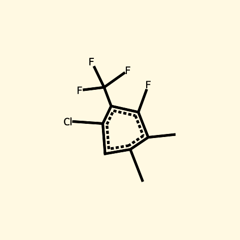 Cc1cc(Cl)c(C(F)(F)F)c(F)c1C